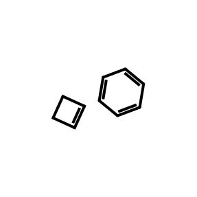 C1=CCC1.c1ccccc1